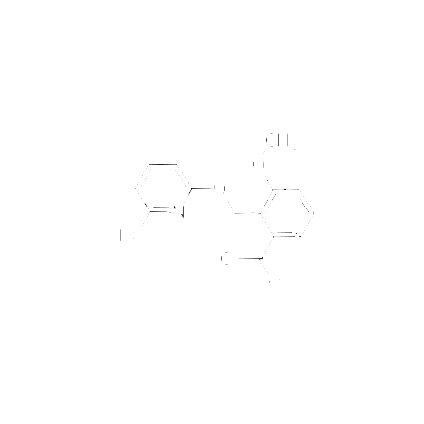 COc1cccc(C(=O)Cl)c1COc1cccc(C)n1